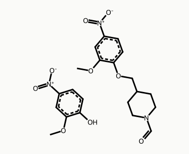 COc1cc([N+](=O)[O-])ccc1O.COc1cc([N+](=O)[O-])ccc1OCC1CCN(C=O)CC1